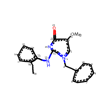 COc1cn(Cc2ccccc2)c(Nc2ccccc2C)nc1=O